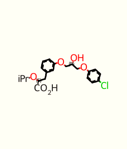 CC(C)O[C@@H](Cc1cccc(OC[C@H](O)COc2ccc(Cl)cc2)c1)C(=O)O